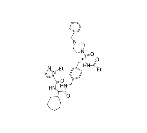 CCC(=O)N[C@H](Cc1ccc(CNC(=O)C(NC(=O)c2ccnn2CC)C2CCCCCC2)cc1)C(=O)N1CCN(Cc2ccccc2)CC1